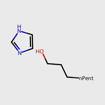 CCCCCCCCO.c1c[nH]cn1